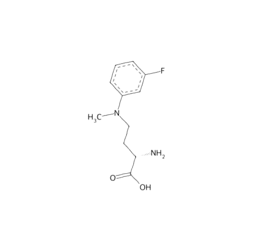 CN(CC[C@H](N)C(=O)O)c1cccc(F)c1